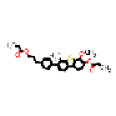 C=CC(=O)OCCCc1ccc(-c2ccc3c(sc4c(OC)c(OC(=O)C=C)ccc43)c2C)cc1